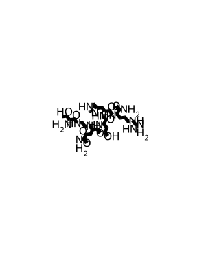 CC(O)C(N)C(=O)NCC(=O)NC(CCC(N)=O)C(=O)NC(CCO)C(=O)NC(Cc1c[nH]cn1)C(=O)NC(CCCNC(=N)N)C(N)=O